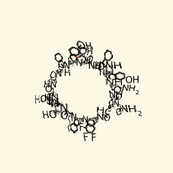 CCCC[C@H]1C(=O)N2C[C@H](O)C[C@@H]2C(=O)N[C@@H](CC(=O)O)C(=O)N[C@@H](C(C)C)C(=O)N(C)[C@@H](Cc2ccccc2)C(=O)N[C@@H](Cc2ccc(O)cc2)C(=O)N2C[C@H](O)C[C@H]2C(=O)N[C@@H](Cc2c[nH]c3ccccc23)C(=O)N[C@@H](Cc2ccc(O)cc2)C(=O)N[C@@H](CCN)C(=O)N[C@H](C(=O)NCC(N)=O)CSCC(=O)N[C@@H](Cc2cc(F)c(F)c(F)c2)C(=O)N(C)[C@@H](Cc2ccccc2)C(=O)N1C